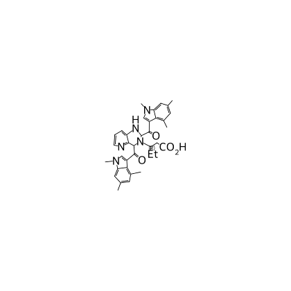 CC[C@H](CC(=O)O)N1C(C(=O)c2cn(C)c3cc(C)cc(C)c23)Nc2cccnc2C1C(=O)c1cn(C)c2cc(C)cc(C)c12